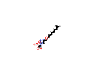 CC(C)CCCCCCCOCCC[NH+]([O-])CC(O)O